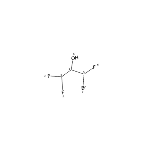 OC(C(F)F)C(F)Br